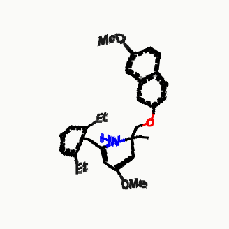 CCc1cccc(CC)c1C1=CC(OC)=CC(C)(COc2ccc3ccc(OC)cc3c2)N1